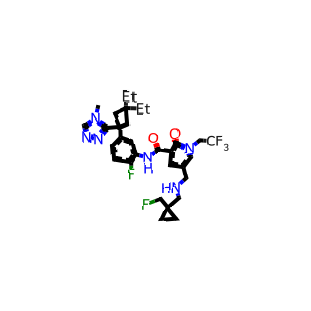 CCC1(CC)CC(c2ccc(F)c(NC(=O)c3cc(CNCC4(CF)CC4)cn(CC(F)(F)F)c3=O)c2)(c2nncn2C)C1